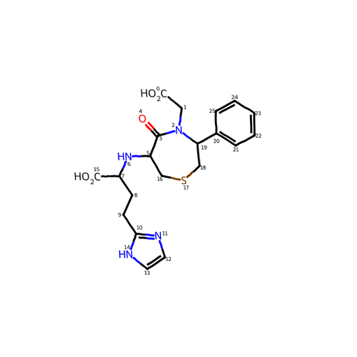 O=C(O)CN1C(=O)C(NC(CCc2ncc[nH]2)C(=O)O)CSCC1c1ccccc1